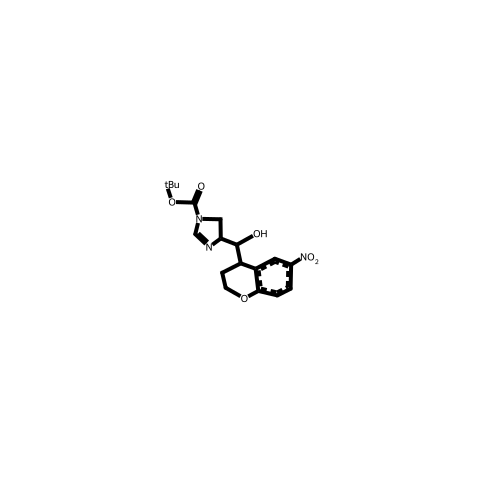 CC(C)(C)OC(=O)N1C=NC(C(O)C2CCOc3ccc([N+](=O)[O-])cc32)C1